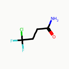 NC(=O)CCC(F)(F)Cl